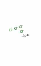 [Cl-].[Cl-].[Cl-].[Cl-].[Ru+4]